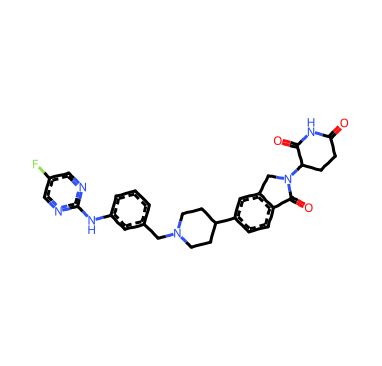 O=C1CCC(N2Cc3cc(C4CCN(Cc5cccc(Nc6ncc(F)cn6)c5)CC4)ccc3C2=O)C(=O)N1